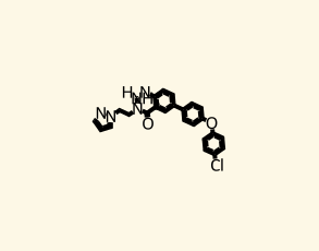 Nc1ccc(-c2ccc(Oc3ccc(Cl)cc3)cc2)cc1C(=O)N(N)CCn1cccn1